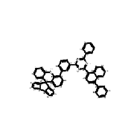 c1ccc(-c2nc(-c3cccc(-c4cccc5c4Sc4ccccc4C54c5ccccc5-c5ccccc54)c3)nc(-c3ccc(-c4ccccc4)c4ccccc34)n2)cc1